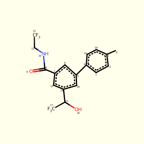 Cc1ccc(-c2cc(C(=O)NCC(F)(F)F)cc(C(O)C(F)(F)F)c2)cc1